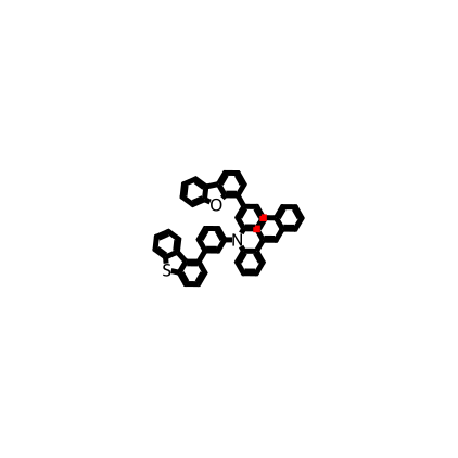 c1cc(-c2cccc3c2oc2ccccc23)cc(N(c2cccc(-c3cccc4sc5ccccc5c34)c2)c2ccccc2-c2ccc3ccccc3c2)c1